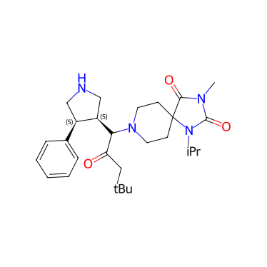 CC(C)N1C(=O)N(C)C(=O)C12CCN(C(C(=O)CC(C)(C)C)[C@@H]1CNC[C@@H]1c1ccccc1)CC2